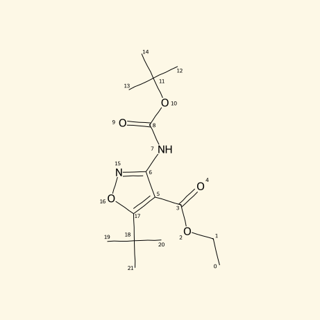 CCOC(=O)c1c(NC(=O)OC(C)(C)C)noc1C(C)(C)C